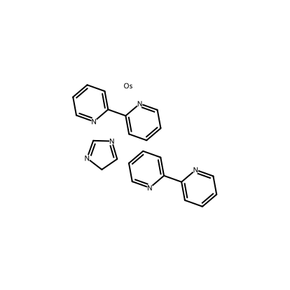 C1=NC=NC1.[Os].c1ccc(-c2ccccn2)nc1.c1ccc(-c2ccccn2)nc1